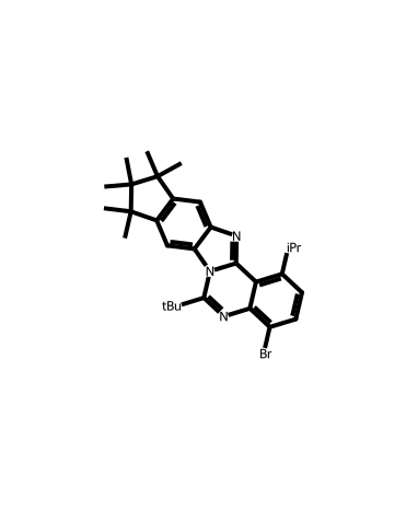 CC(C)c1ccc(Br)c2nc(C(C)(C)C)n3c4cc5c(cc4nc3c12)C(C)(C)C(C)(C)C5(C)C